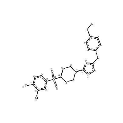 CCc1ccc(Cc2csc(N3CCC(S(=O)(=O)c4ccc(F)c(Cl)c4)CC3)n2)cc1